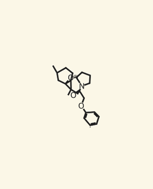 CC1CCC2C(C)(C)C2(O[C@@H]2CCCN2C(=O)COc2c[c]ccc2)C1